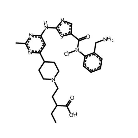 CCC(CCN1CCC(c2cc(Nc3ncc(C(=O)N(Cl)c4ccccc4CN)s3)nc(C)n2)CC1)C(=O)O